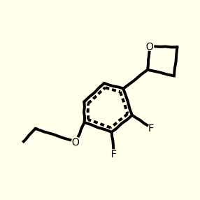 CCOc1ccc(C2CCO2)c(F)c1F